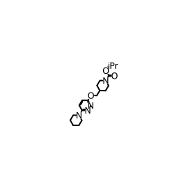 CC(C)OC(=O)N1CCC(COc2ccc(N3CCCCC3)nn2)CC1